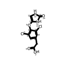 O=C(O)Cc1cc(Cl)c(Oc2c[nH]c(=O)[nH]2)c(Cl)c1